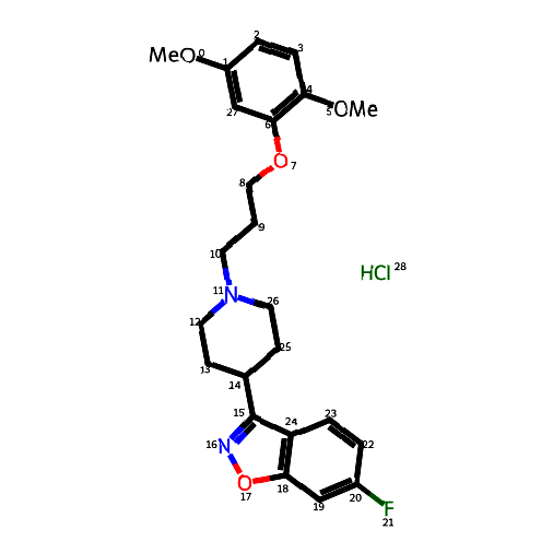 COc1ccc(OC)c(OCCCN2CCC(c3noc4cc(F)ccc34)CC2)c1.Cl